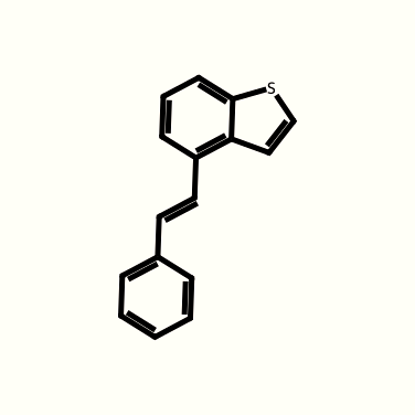 C(=C\c1cccc2sccc12)/c1ccccc1